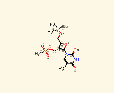 Cc1cn([C@@H]2O[C@H](CO[Si](C)(C)C(C)(C)C)[C@H]2COS(C)(=O)=O)c(=O)[nH]c1=O